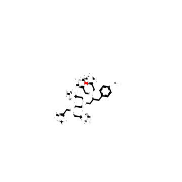 CCOc1ccc(CC(CN(CCN(Cc2nnn[nH]2)Cc2nnn[nH]2)Cc2nnn[nH]2)N(Cc2nnn[nH]2)Cc2nnn[nH]2)cc1